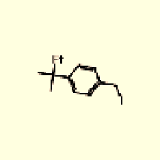 CCC(C)(C)c1ccc(CI)cc1